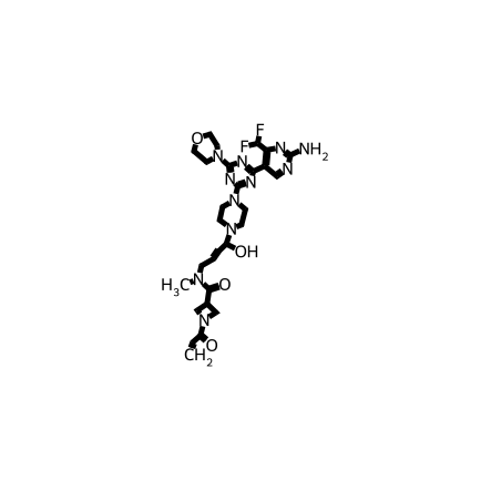 C=CC(=O)N1CC(C(=O)N(C)CC=CC(O)N2CCN(c3nc(-c4cnc(N)nc4C(F)F)nc(N4CCOCC4)n3)CC2)C1